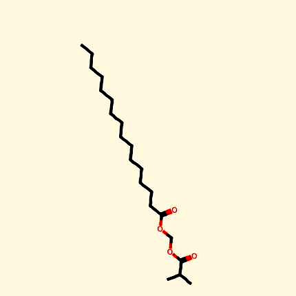 CCCCCCCCCCCCCCCC(=O)OCOC(=O)C(C)C